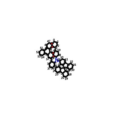 c1ccc(-c2ccc(N(c3ccc4c(c3)C3(c5ccccc5-c5ccccc53)c3ccccc3-4)c3ccccc3-c3ccc4c5ccccc5c5ccccc5c4c3)cc2)cc1